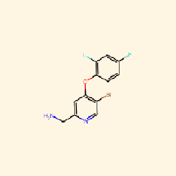 NCc1cc(Oc2ccc(F)cc2F)c(Br)cn1